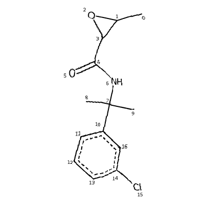 CC1OC1C(=O)NC(C)(C)c1cccc(Cl)c1